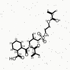 C=C(C)C(=O)OCCOS(=O)(=O)CC(C)CN(C(=O)C(=C)C)C(=O)C1CCCCC1C(=O)O